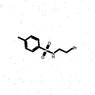 Cc1ccc(S(=O)(=O)NCCC(C)C)cc1